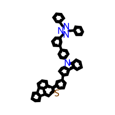 c1ccc(-c2nc(-c3ccccc3)nc(-c3cccc(-c4ccc(-n5c6ccccc6c6cc(-c7ccc8sc9cc%10c%11c(cccc%11c9c8c7)-c7ccccc7-%10)ccc65)cc4)c3)n2)cc1